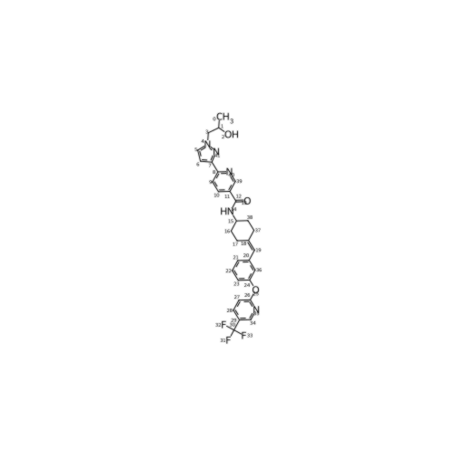 CC(O)Cn1ccc(-c2ccc(C(=O)NC3CCC(=Cc4cccc(Oc5ccc(C(F)(F)F)cn5)c4)CC3)cn2)n1